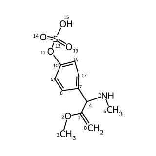 C=C(OC)C(NC)c1ccc(OS(=O)(=O)O)cc1